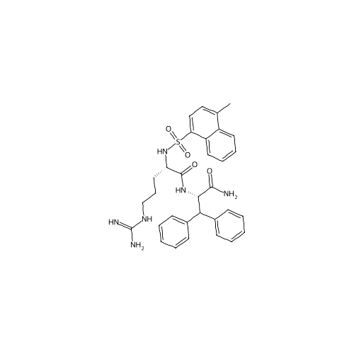 Cc1ccc(S(=O)(=O)N[C@@H](CCCNC(=N)N)C(=O)N[C@H](C(N)=O)C(c2ccccc2)c2ccccc2)c2ccccc12